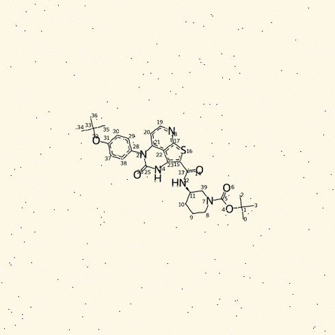 CC(C)(C)OC(=O)N1CCC[C@@H](NC(=O)c2sc3nccc4c3c2NC(=O)N4c2ccc(OC(C)(C)C)cc2)C1